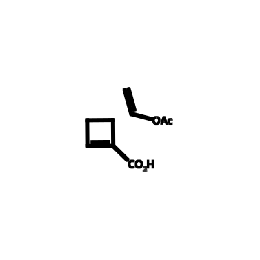 C=COC(C)=O.O=C(O)C1=CCC1